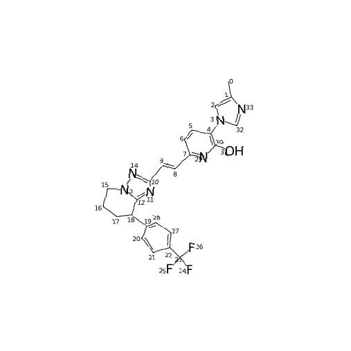 Cc1cn(-c2ccc(C=Cc3nc4n(n3)CCCC4c3ccc(C(F)(F)F)cc3)nc2O)cn1